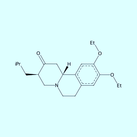 CCOc1cc2c(cc1OCC)[C@H]1CC(=O)[C@H](CC(C)C)CN1CC2